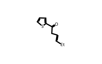 CCC=CCC(=O)c1cccs1